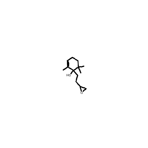 CC1=CCCC(C)(C)C1(O)CCC1CO1